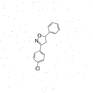 Clc1ccc(C2=NOC(c3ccccc3)C2)cc1